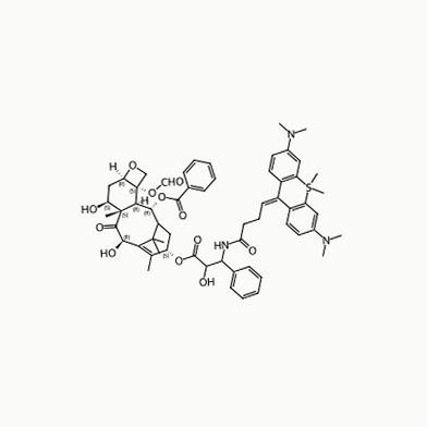 CC1=C2[C@@H](O)C(=O)[C@@]3(C)[C@H]([C@H](OC(=O)c4ccccc4)C(C[C@@H]1OC(=O)C(O)C(NC(=O)CCC=C1c4ccc(N(C)C)cc4S(C)(C)c4cc(N(C)C)ccc41)c1ccccc1)C2(C)C)[C@]1(OC=O)CO[C@@H]1C[C@@H]3O